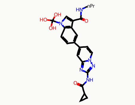 CCCNC(=O)c1cn(C(O)(O)O)c2ccc(-c3ccn4nc(NC(=O)C5CC5)nc4c3)cc12